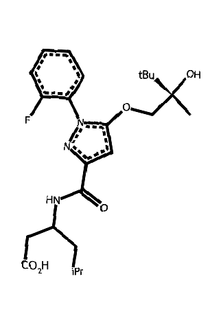 CC(C)CC(CC(=O)O)NC(=O)c1cc(OC[C@@](C)(O)C(C)(C)C)n(-c2ccccc2F)n1